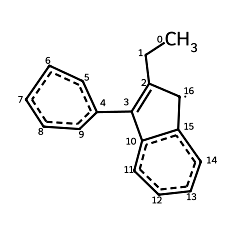 CCC1=C(c2ccccc2)c2ccccc2[CH]1